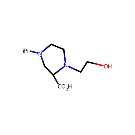 CC(C)N1CCN(CCO)C(C(=O)O)C1